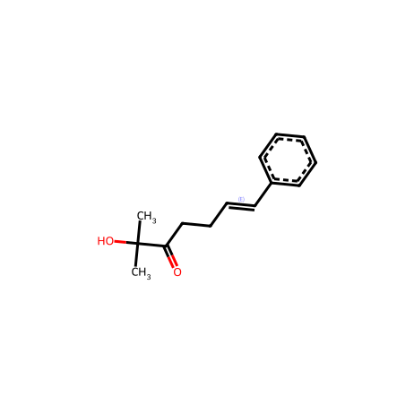 CC(C)(O)C(=O)CC/C=C/c1ccccc1